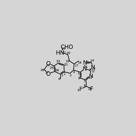 Cc1c(CC(c2cc(C(F)F)nc3ncnn23)C(C)CCNC=O)ccc2c1OCO2